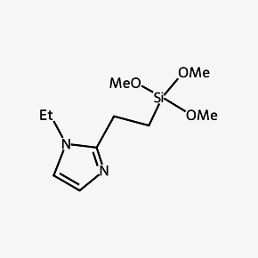 CCn1ccnc1CC[Si](OC)(OC)OC